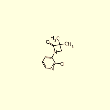 CC1(C)CN(c2cccnc2Cl)C1=O